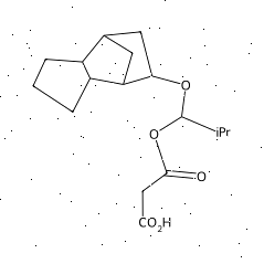 CC(C)C(OC(=O)CC(=O)O)OC1CC2CC1C1CCCC21